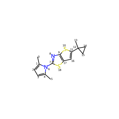 Cc1ccc(C)n1-c1nc2sc(C3(C)CC3)cc2s1